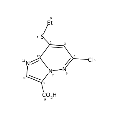 CCSc1cc(Cl)nn2c(C(=O)O)cnc12